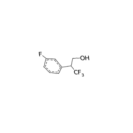 OCC(c1cccc(F)c1)C(F)(F)F